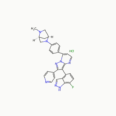 CN1C[C@@H]2C[C@H]1CN2c1ccc(-c2ccnc3c(-c4ccc(F)c5[nH]ncc45)c(-c4ccncc4)nn23)cc1.Cl